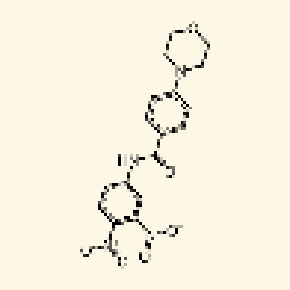 O=C(Nc1ccc([N+](=O)[O-])c([N+](=O)[O-])c1)c1ccc(N2CCOCC2)cc1